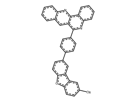 N#Cc1ccc2oc3ccc(-c4ccc(-c5nc6ccccc6c6nc7ccccc7cc56)cc4)cc3c2c1